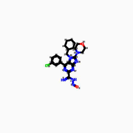 N=C(NN=O)c1nc(-c2cccc(Cl)c2)c2c(n1)nc(N1CCOCC1)n2CC1CCCCC1